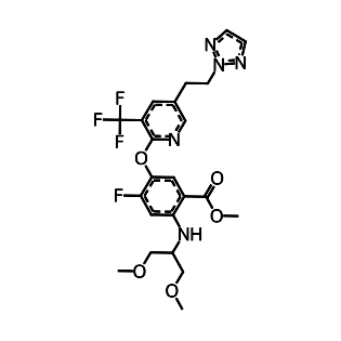 COCC(COC)Nc1cc(F)c(Oc2ncc(CCn3nccn3)cc2C(F)(F)F)cc1C(=O)OC